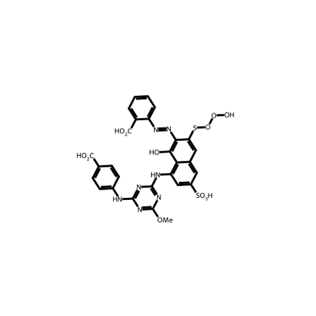 COc1nc(Nc2ccc(C(=O)O)cc2)nc(Nc2cc(S(=O)(=O)O)cc3cc(SOOO)c(N=Nc4ccccc4C(=O)O)c(O)c23)n1